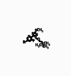 CSc1nc(-c2ncc(Br)cc2F)n(COCC[Si](C)(C)C)n1